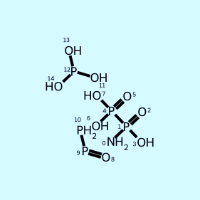 NP(=O)(O)P(=O)(O)O.O=PP.OP(O)O